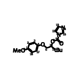 COc1ccc(OCC(OC(=O)n2ccnc2)C(C)(C)C)cc1